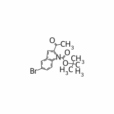 CC(=O)c1cc2cc(Br)ccc2n1C(=O)OC(C)(C)C